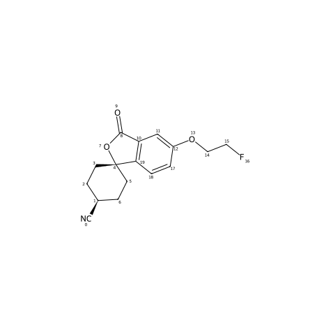 N#C[C@H]1CC[C@@]2(CC1)OC(=O)c1cc(OCCF)ccc12